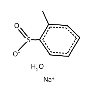 Cc1ccccc1S(=O)[O-].O.[Na+]